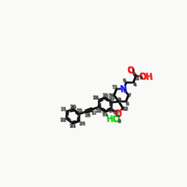 Cl.O=C(O)CCN1CCC2(CC1)COc1cc(C#Cc3ccccc3)ccc12